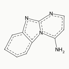 Nc1ccnc2nc3ccccc3n12